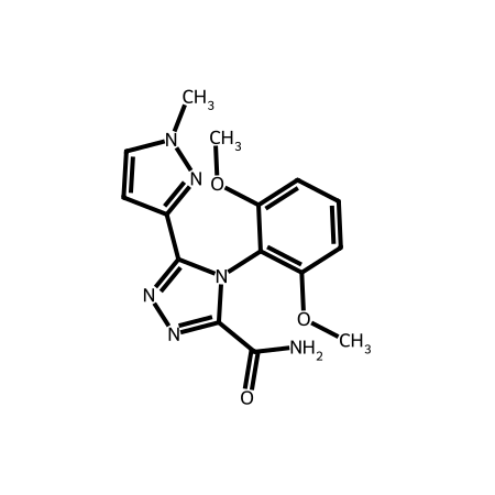 COc1cccc(OC)c1-n1c(C(N)=O)nnc1-c1ccn(C)n1